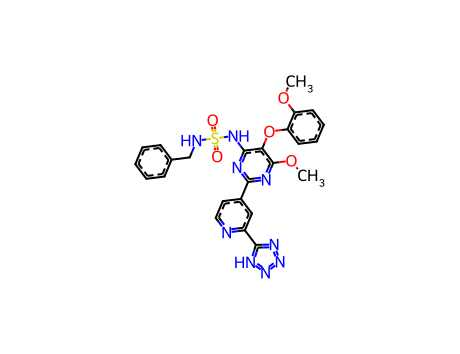 COc1ccccc1Oc1c(NS(=O)(=O)NCc2ccccc2)nc(-c2ccnc(-c3nnn[nH]3)c2)nc1OC